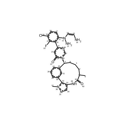 CC1CCC[C@H](n2cnc(-c3c(N(N)/C=C\N)ccc(Cl)c3F)cc2=O)c2cccc(c2)-c2c(cnn2C)NC1=O